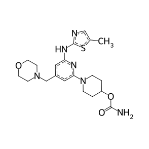 Cc1cnc(Nc2cc(CN3CCOCC3)cc(N3CCC(OC(N)=O)CC3)n2)s1